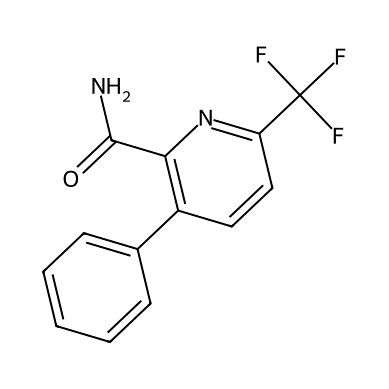 NC(=O)c1nc(C(F)(F)F)ccc1-c1ccccc1